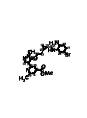 COC(=O)c1cc(C)nc(-c2cnn(C)c2OCC[C@H]2C[C@@H]2CNc2cc(Br)ccc2N)c1